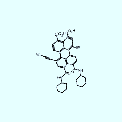 CCCCC#Cc1cc(C(=O)NC2CCCCC2)c2c(C(=O)NC3CCCCC3)ccc3c4c(Br)cc(C(=O)O)c5c(C(=O)O)ccc(c1c23)c54